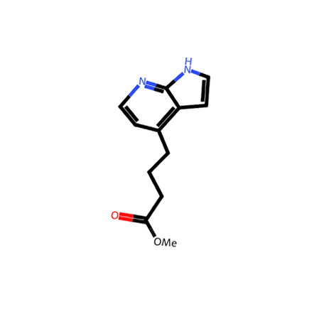 COC(=O)CCCc1ccnc2[nH]ccc12